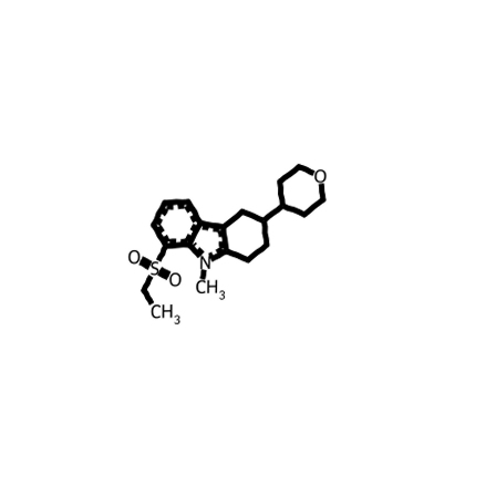 CCS(=O)(=O)c1cccc2c3c(n(C)c12)CCC(C1CCOCC1)C3